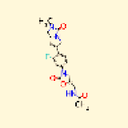 CC(=O)NC[C@H]1CN(c2ccc(C3=CC4CN(C)C(=O)N4C3)c(F)c2)C(=O)O1